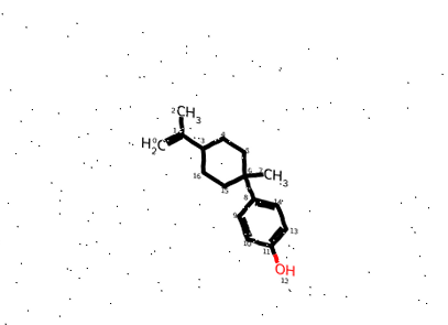 C=C(C)C1CCC(C)(c2ccc(O)cc2)CC1